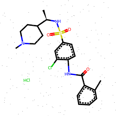 Cc1ccccc1C(=O)Nc1ccc(S(=O)(=O)N[C@H](C)C2CCN(C)CC2)cc1Cl.Cl